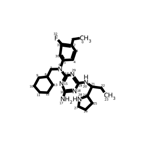 CCc1ccc(N(CC2CCCCC2)c2nc(N)nc(NC(CC)C3CCCN3)n2)cc1F